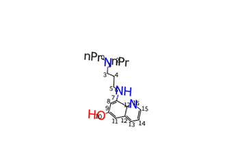 CCCN(CCC)CCCNc1cc(O)cc2cccnc12